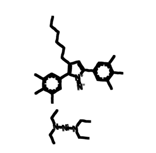 CCCCCCC1=C(c2cc(C)c(C)c(C)c2)[N+](=[N-])C(c2cc(C)c(C)c(C)c2)=C1.CC[N](CC)[Ni][N](CC)CC